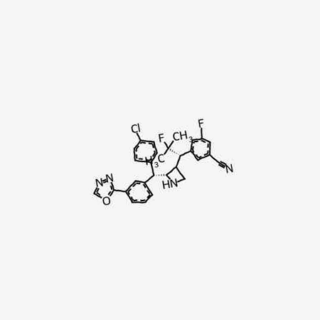 CC(C)(F)[C@H](c1cc(F)cc(C#N)c1)C1CNC1[C@@H](c1ccc(Cl)cc1)c1cccc(-c2nnco2)c1